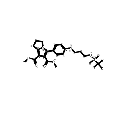 COC(=O)c1c(C(=O)OC)c(-c2ccc(NCCCO[Si](C)(C)C(C)(C)C)cc2)n2c1CCC2